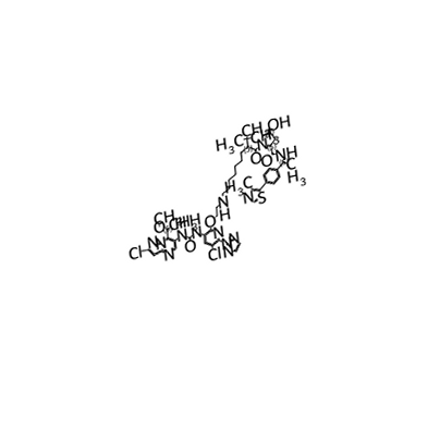 CO[C@@H](C)c1c(NC(=O)Nc2cc(Cl)c(-n3nccn3)nc2OCCNCCCCCCC[C@H](C(=O)N2C[C@H](O)C[C@H]2C(=O)N[C@@H](C)c2ccc(-c3scnc3C)cc2)C(C)(C)C)cnc2cc(Cl)nn12